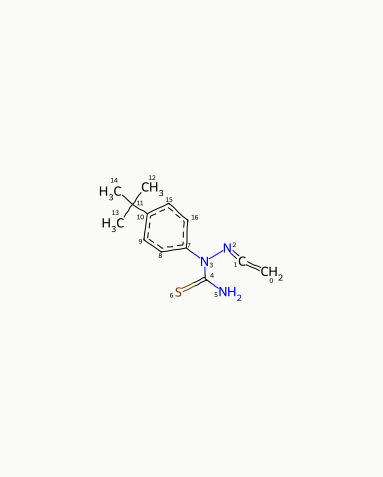 C=C=NN(C(N)=S)c1ccc(C(C)(C)C)cc1